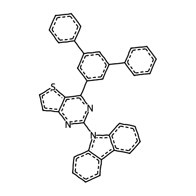 c1ccc(-c2cc(-c3ccccc3)cc(-c3nc(-n4c5ccccc5c5ccccc54)nc4ccsc34)c2)cc1